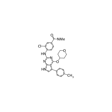 CNC(=O)c1ccc(Nc2nc(OC3CCOCC3)c3c(-c4ccc(C)cc4)c[nH]c3n2)c(Cl)c1